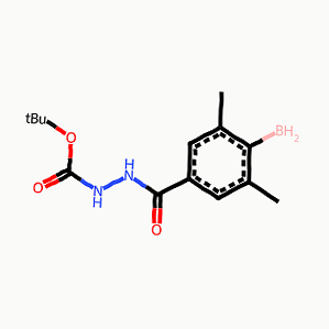 Bc1c(C)cc(C(=O)NNC(=O)OC(C)(C)C)cc1C